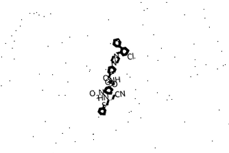 N#CCC[C@H](CSc1ccccc1)Nc1ccc(S(=O)(=O)NC(=O)c2ccc(N3CCN(Cc4cc(Cl)ccc4-c4ccccc4)CC3)cc2)cc1[N+](=O)[O-]